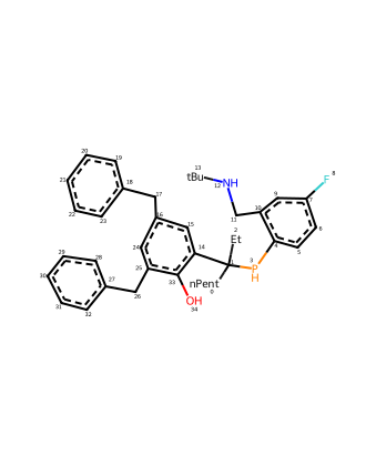 CCCCCC(CC)(Pc1ccc(F)cc1CNC(C)(C)C)c1cc(Cc2ccccc2)cc(Cc2ccccc2)c1O